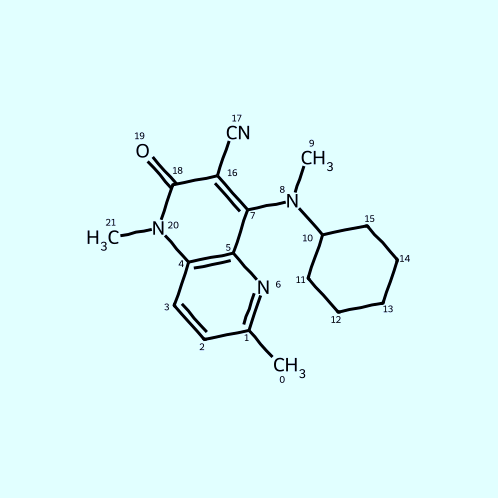 Cc1ccc2c(n1)c(N(C)C1CCCCC1)c(C#N)c(=O)n2C